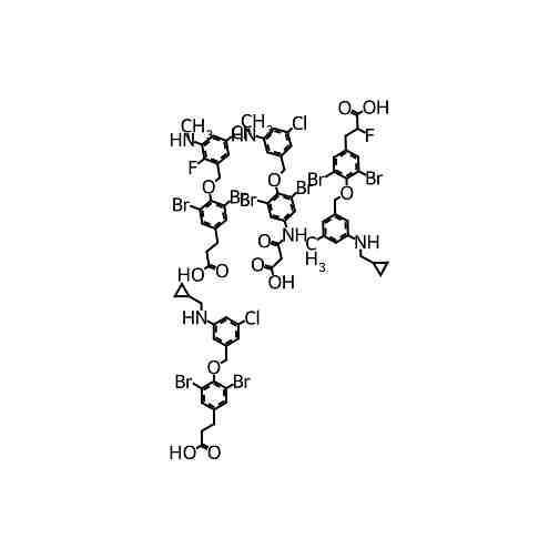 CNc1cc(Cl)cc(COc2c(Br)cc(CCC(=O)O)cc2Br)c1F.CNc1cc(Cl)cc(COc2c(Br)cc(NC(=O)CC(=O)O)cc2Br)c1.Cc1cc(COc2c(Br)cc(CC(F)C(=O)O)cc2Br)cc(NCC2CC2)c1.O=C(O)CCc1cc(Br)c(OCc2cc(Cl)cc(NCC3CC3)c2)c(Br)c1